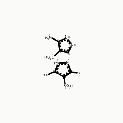 CCOC(=O)c1c(Br)n[nH]c1N.CCOC(=O)c1cn[nH]c1N